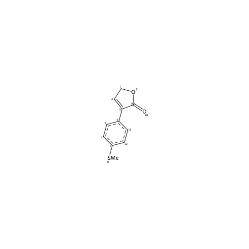 CSc1ccc(C2=CCOC2=O)cc1